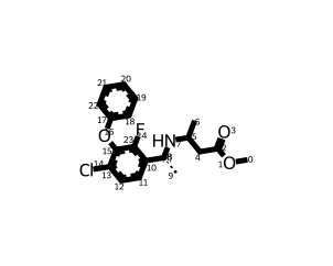 COC(=O)CC(C)N[C@H](C)c1ccc(Cl)c(Oc2ccccc2)c1F